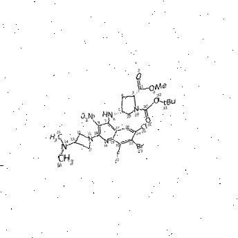 COC(=O)[C@H]1C[C@@H](Nc2c([N+](=O)[O-])c(N3CC(N(C)C)C3)nc3c(F)c(Br)c(Cl)cc23)CN1C(=O)OC(C)(C)C